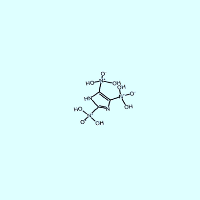 [O-][N+](O)(O)c1nc([N+]([O-])(O)O)c([N+]([O-])(O)O)[nH]1